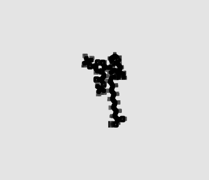 CCC(CC)(Cc1nccn1CC(=O)N(CC(=O)OC(C)(C)C)CC(=O)OC(C)(C)C)NCCCCCCCCCCC(=O)O